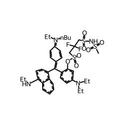 CCCC[N+](CC)=C1C=CC(=C(c2ccc(N(CC)CC)cc2OS(=O)(=O)CC(F)(F)CS(=O)(=O)NS(C)(=O)=O)c2ccc(NCC)c3ccccc23)C=C1